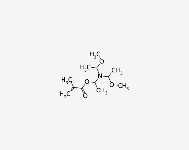 C=C(C)C(=O)OC(C)N(C(C)OC)C(C)OC